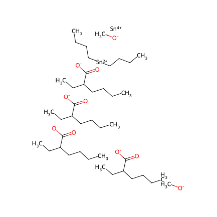 CCCCC(CC)C(=O)[O-].CCCCC(CC)C(=O)[O-].CCCCC(CC)C(=O)[O-].CCCCC(CC)C(=O)[O-].CCC[CH2][Sn+2][CH2]CCC.C[O-].C[O-].[Sn+4]